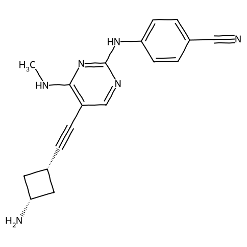 CNc1nc(Nc2ccc(C#N)cc2)ncc1C#C[C@H]1C[C@@H](N)C1